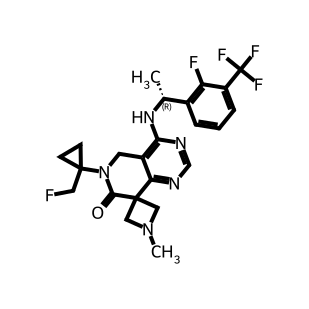 C[C@@H](Nc1ncnc2c1CN(C1(CF)CC1)C(=O)C21CN(C)C1)c1cccc(C(F)(F)F)c1F